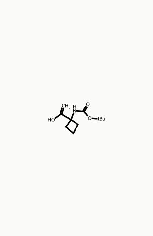 C=C(O)C1(NC(=O)OC(C)(C)C)CCC1